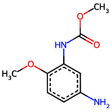 COC(=O)Nc1cc(N)ccc1OC